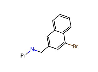 CC(C)[N]Cc1cc(Br)c2ccccc2c1